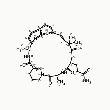 C[C@@H]1NC(=O)[C@H](CCC(N)=O)OC(=O)C(C)(C)/C=C/c2ccc3ccc(nc3c2)N(C)NC(=O)[C@@H]2CCCN(N2)C1=O